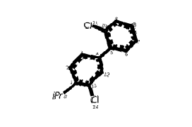 CC(C)c1ccc(-c2cc[c]cc2Cl)cc1Cl